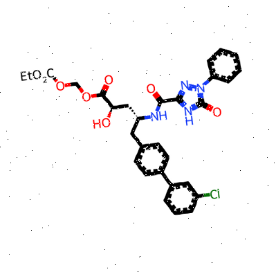 CCOC(=O)OCOC(=O)[C@H](O)C[C@@H](Cc1ccc(-c2cccc(Cl)c2)cc1)NC(=O)c1nn(-c2ccccc2)c(=O)[nH]1